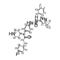 Cc1ccc(-n2nc(C(C)(C)C)cc2NC(=O)Nc2ccc(C(C(=O)CCc3ccc(F)cc3)C3CCNCC3)cc2)cc1